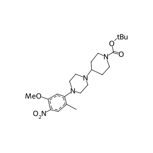 COc1cc(N2CCN(C3CCN(C(=O)OC(C)(C)C)CC3)CC2)c(C)cc1[N+](=O)[O-]